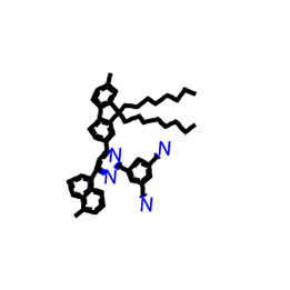 CCCCCCCCC1(CCCCCCCC)c2cc(C)ccc2-c2ccc(-c3cc(-c4cccc5c(C)cccc45)nc(-c4cc(C#N)cc(C#N)c4)n3)cc21